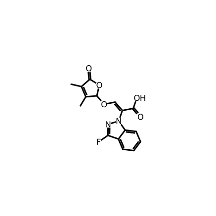 CC1=C(C)C(O/C=C(/C(=O)O)n2nc(F)c3ccccc32)OC1=O